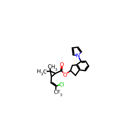 CC1(C)C(C=C(Cl)C(F)(F)F)C1C(=O)OC1Cc2cccc(-n3cccc3)c2C1